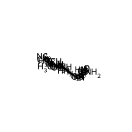 CC1(C)[C@H](NC(=O)c2ccc(NCCNCCCCCOc3ccc4ncc(-n5cc(N)c(=O)[nH]c5=O)cc4c3)nc2)C(C)(C)[C@H]1Oc1ccc(C#N)c(Cl)c1